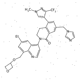 CCc1cc(COC2COC2)c2nccc(N3CCc4c(cc(Cn5ccnc5)cc4-c4cn(C)nc4C(F)(F)F)C3=O)c2c1